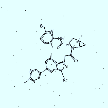 CC(=O)c1nn(CC(=O)N2C3C[C@]3(C)C[C@H]2C(=O)Nc2nc(Br)ccc2C)c2c(C)cc(-c3cnc(C)nc3)cc12